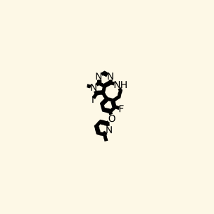 Cc1cccc(Oc2ccc3c(c2F)CCNc2ncnc4c2c-3c(I)n4C)n1